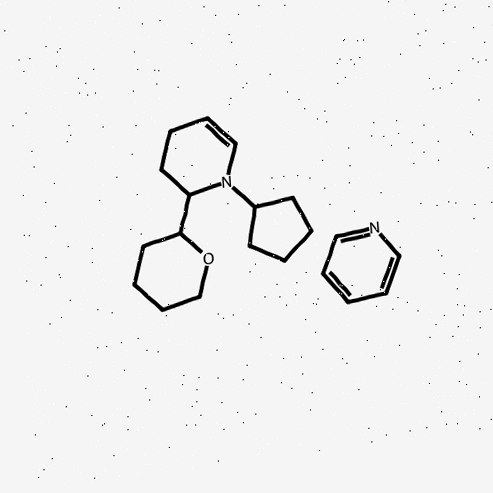 C1=CN(C2CCCC2)C(C2CCCCO2)CC1.c1ccncc1